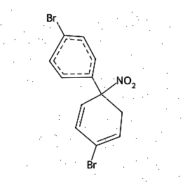 O=[N+]([O-])C1(c2ccc(Br)cc2)C=CC(Br)=CC1